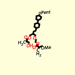 C=C(CO)C(=O)OCC(CCC1CCC(C2CCC(CCCCC)CC2)CC1)COCCOC(=O)C(=C)COC